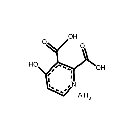 O=C(O)c1nccc(O)c1C(=O)O.[AlH3]